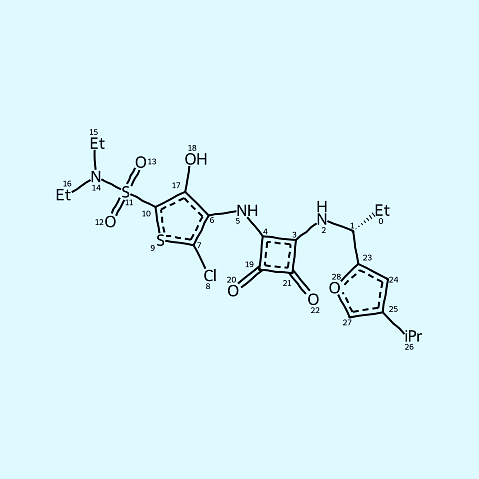 CC[C@@H](Nc1c(Nc2c(Cl)sc(S(=O)(=O)N(CC)CC)c2O)c(=O)c1=O)c1cc(C(C)C)co1